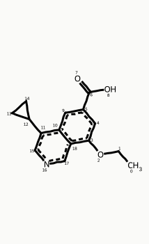 CCOc1cc(C(=O)O)cc2c(C3CC3)cncc12